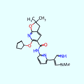 CN/C=C(\C=N)c1cccc(NC(=O)c2cc3c(nc2OC2CCCC2)OC(C)(C)C3)n1